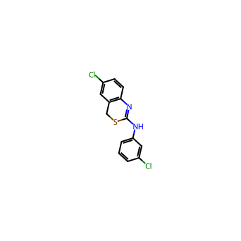 Clc1cccc(NC2=Nc3ccc(Cl)cc3CS2)c1